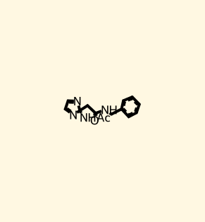 CC(=O)NC1(CC(=O)NCc2ccccc2)N=CC=N1